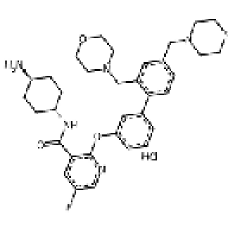 Cl.N[C@H]1CC[C@H](NC(=O)c2cc(F)cnc2Oc2cccc(-c3ccc(CN4CCSCC4)cc3CN3CCOCC3)c2)CC1